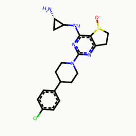 N[C@H]1CC1Nc1nc(N2CCC(c3ccc(Cl)cc3)CC2)nc2c1[S+]([O-])CC2